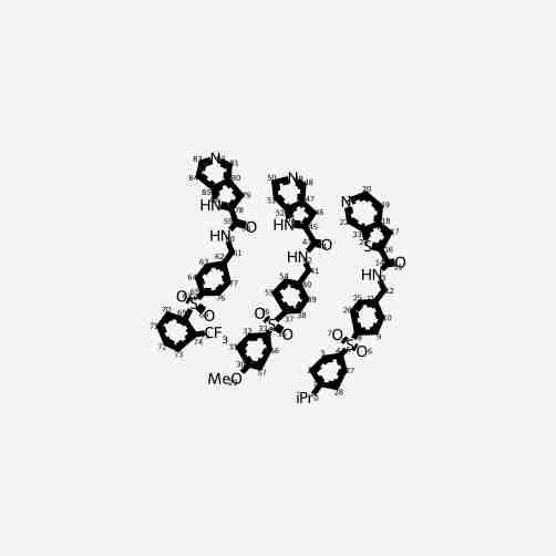 CC(C)c1ccc(S(=O)(=O)c2ccc(CNC(=O)c3cc4ccncc4s3)cc2)cc1.COc1ccc(S(=O)(=O)c2ccc(CNC(=O)c3cc4cnccc4[nH]3)cc2)cc1.O=C(NCc1ccc(S(=O)(=O)c2ccccc2C(F)(F)F)cc1)c1cc2cnccc2[nH]1